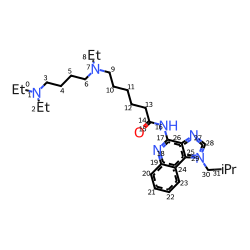 CCN(CC)CCCCN(CC)CCCCCC(=O)Nc1nc2ccccc2c2c1ncn2CC(C)C